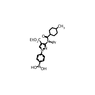 CCOC(=O)c1cn(-c2ccc(B(O)O)cc2)nc1N(C(=O)C1CCC(C)CC1)C(C)C